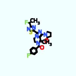 CC(F)c1nsc(-c2nc(N3CCCC3=O)c3n2CCN(C(=O)c2ccc(F)cc2)[C@@H]3C)n1